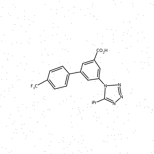 CC(C)c1nnnn1-c1cc(C(=O)O)cc(-c2ccc(C(F)(F)F)cc2)c1